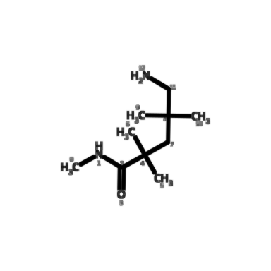 CNC(=O)C(C)(C)CC(C)(C)CN